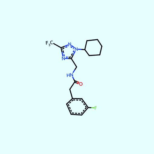 O=C(Cc1cccc(F)c1)NCc1nc(C(F)(F)F)nn1C1CCCCC1